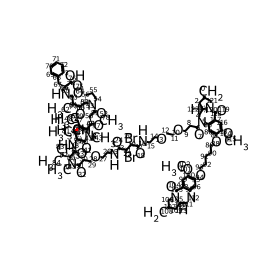 C=C1C[C@H]2CN(C(=O)CCOCCOCCNC(=O)C(Br)C(Br)C(=O)NCCOCCC(=O)N(C)[C@H](C(=O)N[C@H](C(=O)N(C)[C@@H]([C@@H](C)CC)[C@@H](CC(=O)N3CCC[C@H]3[C@H](OC)[C@@H](C)C(=O)N[C@@H](Cc3ccccc3)C(=O)O)OC)C(C)C)C(C)C)c3cc(OCCCCCOc4cc5c(cc4OC)C(=O)N4CC(=C)C[C@H]4C=N5)c(OC)cc3C(=O)N2C1